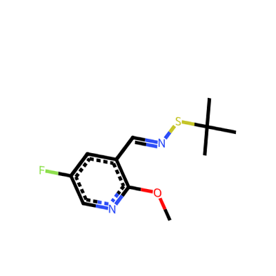 COc1ncc(F)cc1/C=N/SC(C)(C)C